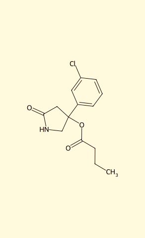 CCCC(=O)OC1(c2cccc(Cl)c2)CNC(=O)C1